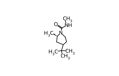 CNC(=O)N1CCC(C(C)(C)C)C[C@H]1C